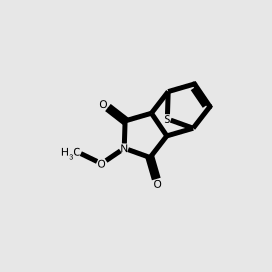 CON1C(=O)C2C3C=CC(S3)C2C1=O